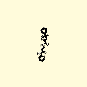 CC1(c2ccccc2)CC(C(=O)NCCC(=O)Nc2ccccn2)=NO1